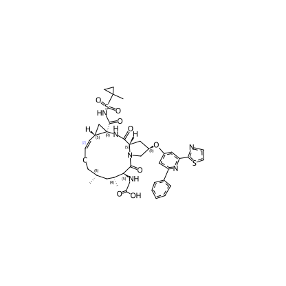 C[C@@H]1CC/C=C\[C@@H]2C[C@@]2(C(=O)NS(=O)(=O)C2(C)CC2)NC(=O)[C@@H]2C[C@@H](Oc3cc(-c4ccccc4)nc(-c4nccs4)c3)CN2C(=O)[C@@H](NC(=O)O)[C@H](C)C1